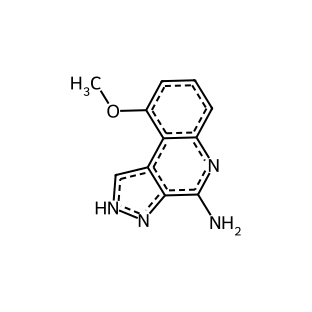 COc1cccc2nc(N)c3n[nH]cc3c12